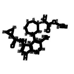 CC(C)(C)OC(=O)N[C@H]1CCCCN(c2c(Br)cnc3[nH]cc(NC(=O)C4CC4)c23)C1